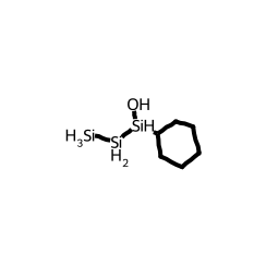 O[SiH]([SiH2][SiH3])C1CCCCC1